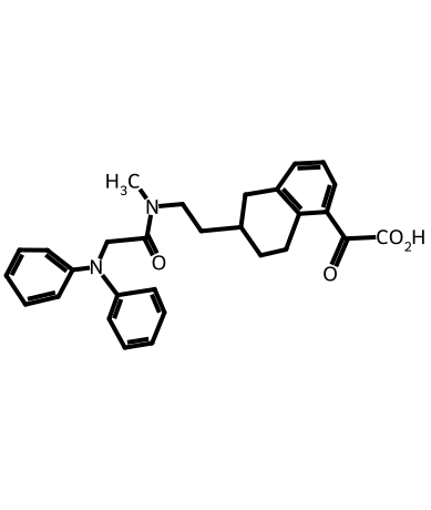 CN(CCC1CCc2c(cccc2C(=O)C(=O)O)C1)C(=O)CN(c1ccccc1)c1ccccc1